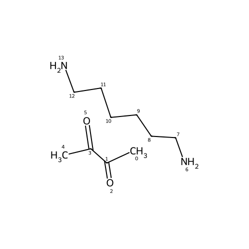 CC(=O)C(C)=O.NCCCCCCN